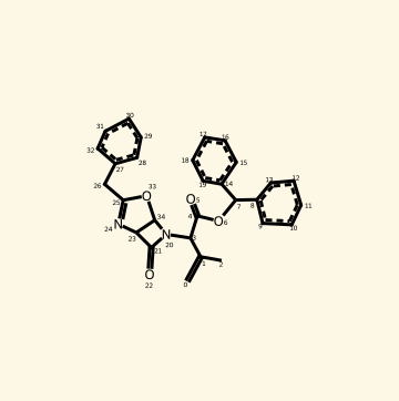 C=C(C)C(C(=O)OC(c1ccccc1)c1ccccc1)N1C(=O)C2N=C(Cc3ccccc3)OC21